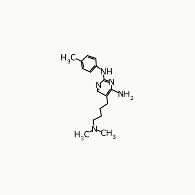 Cc1ccc(Nc2ncc(CCCCN(C)C)c(N)n2)cc1